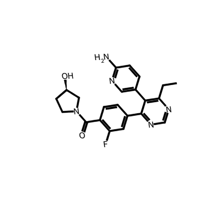 CCc1ncnc(-c2ccc(C(=O)N3CC[C@@H](O)C3)c(F)c2)c1-c1ccc(N)nc1